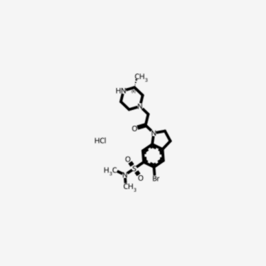 C[C@@H]1CN(CC(=O)N2CCc3cc(Br)c(S(=O)(=O)N(C)C)cc32)CCN1.Cl